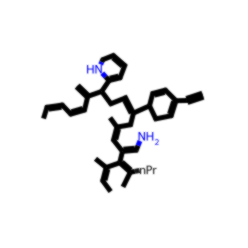 C#CC1=CCC(/C(=C/CC(C(=C)/C=C\C=C/C)C2=CC=CCN2)C\C(C)=C/C(=C\N)C(/C(C)=C\C)=C(/C)CCC)C=C1